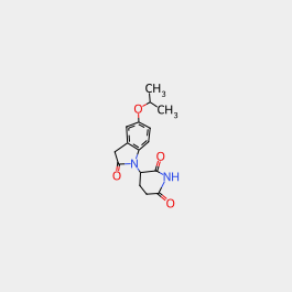 CC(C)Oc1ccc2c(c1)CC(=O)N2C1CCC(=O)NC1=O